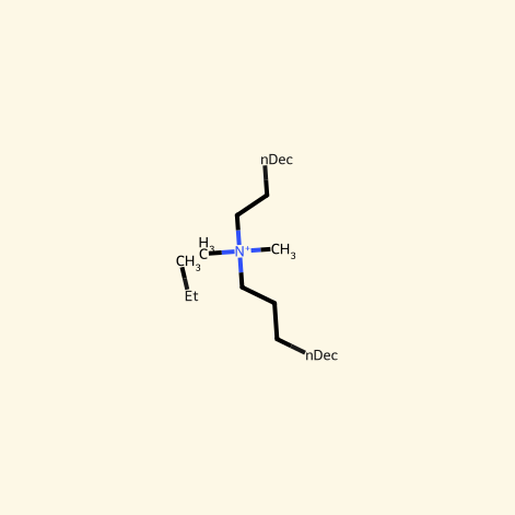 CCC.CCCCCCCCCCCCC[N+](C)(C)CCCCCCCCCCCC